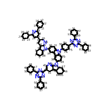 C1=CCC2=C3C=C(c4cc(-c5ccccc5)nc(-c5ccccc5)c4)C=NC3N(c3ccc4c(c3)c3cc(N5C6=NC=C(c7nc(-c8ccccc8)nc(-c8ccccc8)n7)CC6=C6C=CC=CC65)ccc3n4-c3ccc(-c4nc(-c5ccccc5)nc(-c5ccccc5)n4)cc3)C2=C1